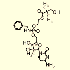 CC(C)(CO)C(=O)SCCOP(=O)(NCc1ccccc1)OC[C@H]1O[C@@H](n2ccc(N)nc2=O)[C@](C)(Cl)[C@@H]1O